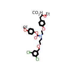 CCOC(Cc1ccc(OCCN(CCCOCc2cc(Cl)cc(Cl)c2)C(=O)Oc2ccc(OC(F)(F)F)cc2)cc1)C(=O)O